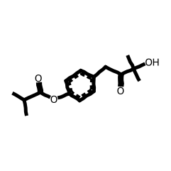 CC(C)C(=O)Oc1ccc(CC(=O)C(C)(C)O)cc1